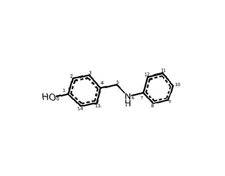 Oc1ccc(CNc2ccccc2)cc1